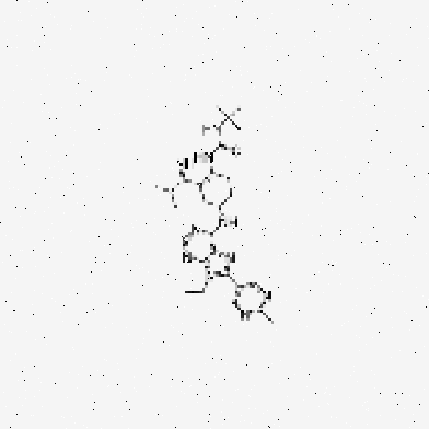 CCn1c(-c2cnc(C)nc2)nc2c(NC3CCC(NC(=O)NC(C)(C)C)=C(C(=N)C(C)C)C3)ncnc21